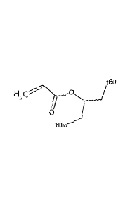 C=CC(=O)OC(CC(C)(C)C)CC(C)(C)C